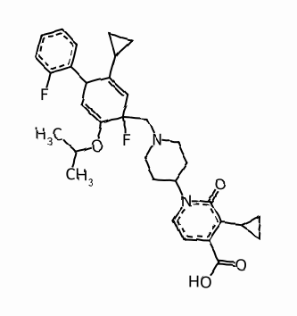 CC(C)OC1=CC(c2ccccc2F)C(C2CC2)=CC1(F)CN1CCC(n2ccc(C(=O)O)c(C3CC3)c2=O)CC1